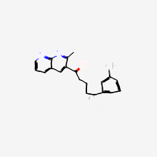 Cc1nc2ncccc2cc1C(=O)CCC[C@@H](C)c1cccc(C(F)(F)F)c1